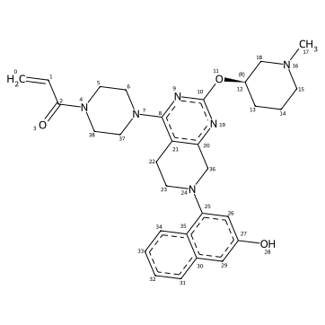 C=CC(=O)N1CCN(c2nc(O[C@@H]3CCCN(C)C3)nc3c2CCN(c2cc(O)cc4ccccc24)C3)CC1